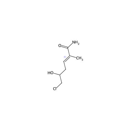 C/C(=C\CC(O)CCl)C(N)=O